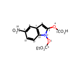 CCOC(=O)On1c(OC(=O)O)cc2cc([N+](=O)[O-])ccc21